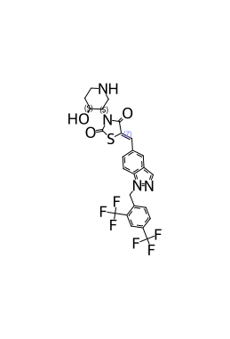 O=C1S/C(=C\c2ccc3c(cnn3Cc3ccc(C(F)(F)F)cc3C(F)(F)F)c2)C(=O)N1[C@H]1CNCC[C@@H]1O